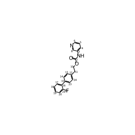 O=C(Nc1cccnc1)OCCc1ccc(-c2ccccc2F)cc1